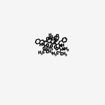 CC(C)C(N)C(=O)NC(Cc1ccccc1)C(=O)N(C(=O)[C@@H](C[C@H](O)[C@H](CC1CCCCC1)NC(=O)OC(C)(C)C)C(C)C)N1CCOCC1